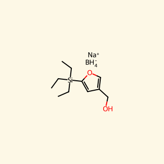 CC[Si](CC)(CC)c1cc(CO)co1.[BH4-].[Na+]